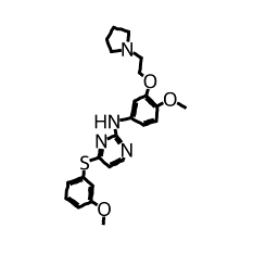 COc1cccc(Sc2ccnc(Nc3ccc(OC)c(OCCN4CCCC4)c3)n2)c1